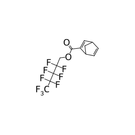 O=C(OCC(F)(F)C(F)(F)C(F)(F)C(F)(F)F)C1=CC2C=CC1C2